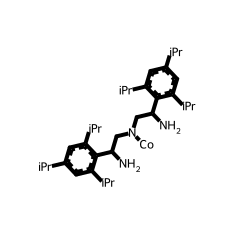 CC(C)c1cc(C(C)C)c(C(N)C[N]([Co])CC(N)c2c(C(C)C)cc(C(C)C)cc2C(C)C)c(C(C)C)c1